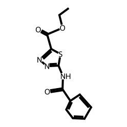 CCOC(=O)c1nnc(NC(=O)c2ccccc2)s1